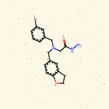 CC(=O)c1cccc(CN(CC(=O)NN)Cc2ccc3c(c2)CCO3)c1